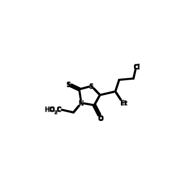 CCC(CCCl)C1SC(=S)N(CC(=O)O)C1=O